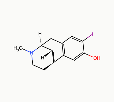 CN1CC[C@]23CCCC[C@H]2[C@@H]1Cc1cc(I)c(O)cc13